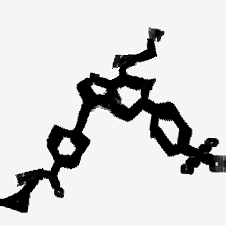 CC(C)CNc1nc(-c2ccc(S(C)(=O)=O)cc2)cn2c(-c3ccc(C(=O)NC4CC4)cc3)cnc12